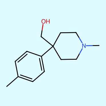 Cc1ccc(C2(CO)CCN(C)CC2)cc1